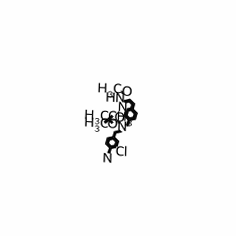 CC(=O)Nc1ccc2ccc(CN(CCc3ccc(C#N)c(Cl)c3)C(=O)OC(C)(C)C)cc2n1